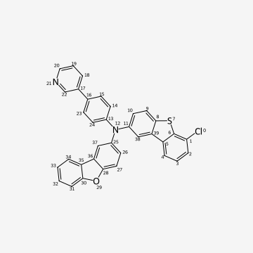 Clc1cccc2c1sc1ccc(N(c3ccc(-c4cccnc4)cc3)c3ccc4oc5ccccc5c4c3)cc12